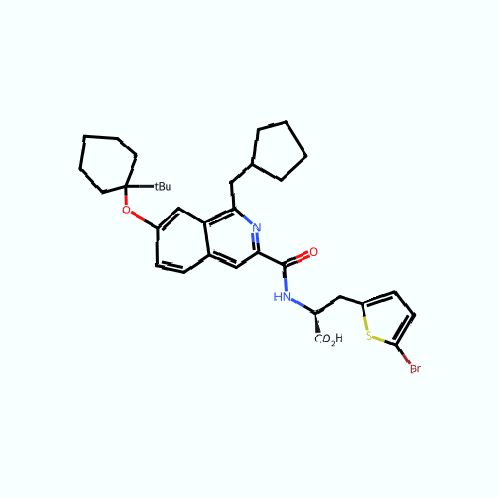 CC(C)(C)C1(Oc2ccc3cc(C(=O)N[C@@H](Cc4ccc(Br)s4)C(=O)O)nc(CC4CCCC4)c3c2)CCCCC1